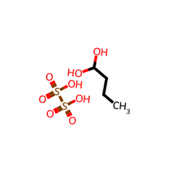 CCCC(O)O.O=S(=O)(O)S(=O)(=O)O